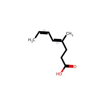 C/C=C\C=C(/C)CCC(=O)O